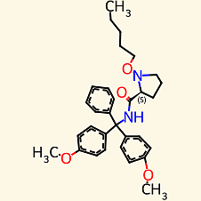 CCCCCON1CCC[C@H]1C(=O)NC(c1ccccc1)(c1ccc(OC)cc1)c1ccc(OC)cc1